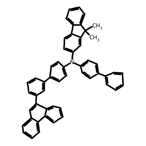 CC1(C)c2ccccc2-c2ccc(N(c3ccc(-c4ccccc4)cc3)c3ccc(-c4cccc(-c5cc6ccccc6c6ccccc56)c4)cc3)cc21